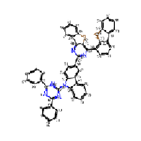 c1ccc(-c2nc(-c3ccccc3)nc(-n3c4ccccc4c4cc(-c5nc(-c6cccc7c6sc6ccccc67)c6sc7ccccc7c6n5)ccc43)n2)cc1